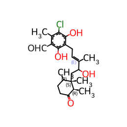 C/C(=C\Cc1c(O)c(Cl)c(C)c(C=O)c1O)C(O)C[C@@]1(C)[C@H](C)CCC(=O)[C@@H]1C